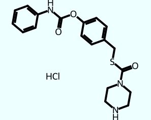 Cl.O=C(Nc1ccccc1)Oc1ccc(CSC(=O)N2CCNCC2)cc1